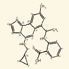 Cc1cc(C(C)Nc2ccccc2C(=O)O)c2nc(NCC3CC3)n3cnnc3c2c1